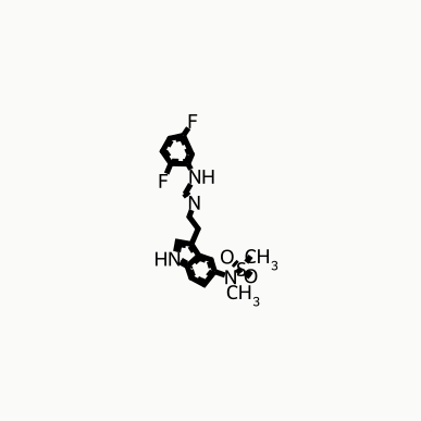 CN(c1ccc2[nH]cc(CCN=CNc3cc(F)ccc3F)c2c1)S(C)(=O)=O